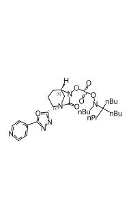 CCCCN(OS(=O)(=O)ON1C(=O)N2C[C@@H]1CC[C@H]2c1nnc(-c2ccncc2)o1)C(CCC)(CCCC)CCCC